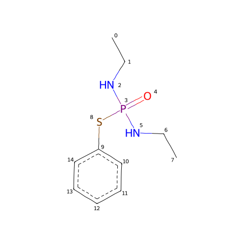 CCNP(=O)(NCC)Sc1ccccc1